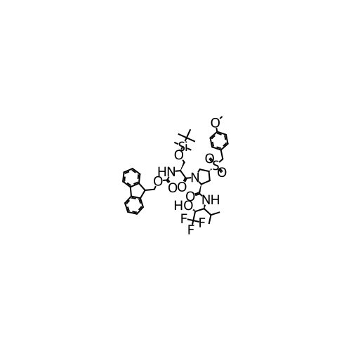 COc1ccc(CS(=O)(=O)[C@@H]2C[C@@H](C(=O)N[C@@H](C(C)C)[C@H](O)C(F)(F)F)N(C(=O)[C@H](CO[Si](C)(C)C(C)(C)C)NC(=O)OCC3c4ccccc4-c4ccccc43)C2)cc1